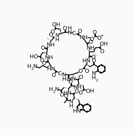 COC(=O)OC[C@H]1NC(=O)CNC(=O)[C@H](CC(=O)O)NC(=O)[C@@H](C)NC(=O)[C@H](CC(=O)O)NC(=O)[C@H](CCCN)NC(=O)CNC(=O)[C@@H](NC(=O)[C@H](CC(=O)O)NC(=O)[C@@H](CC(N)=O)NC(=O)[C@H](Cc2c[nH]c3ccccc23)NC(C)=O)[C@@H](C)OC(=O)[C@H](CC(=O)c2ccccc2N)NC(=O)[C@H]([C@@H](C)CC(=O)O)NC1=O